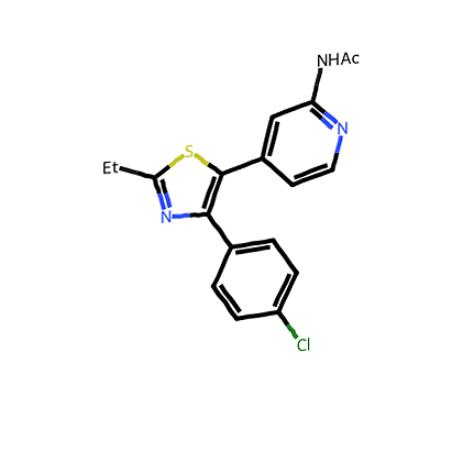 CCc1nc(-c2ccc(Cl)cc2)c(-c2ccnc(NC(C)=O)c2)s1